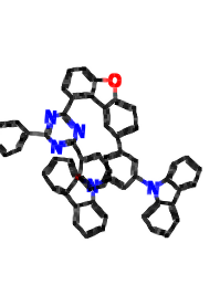 c1ccc(-c2nc(-c3ccccc3)nc(-c3cccc4oc5ccc(-c6cc(-n7c8ccccc8c8ccccc87)cc(-n7c8ccccc8c8ccccc87)c6)cc5c34)n2)cc1